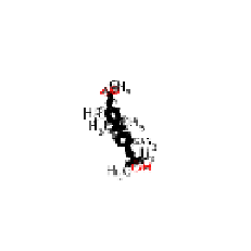 CCC(O)(C#Cc1ccc(C(CC)(CC)c2ccc(CCC(=O)OC)c(C)c2)cc1C)CC